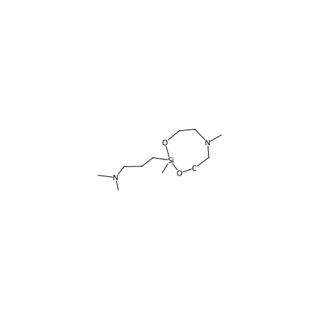 CN(C)CCC[Si]1(C)OCCN(C)CCO1